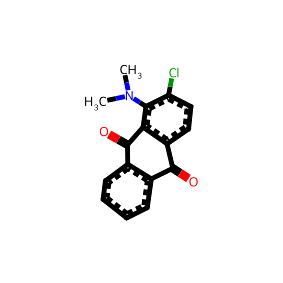 CN(C)c1c(Cl)ccc2c1C(=O)c1ccccc1C2=O